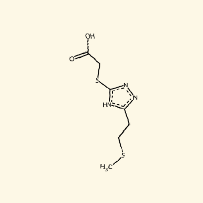 CSCCc1nnc(SCC(=O)O)[nH]1